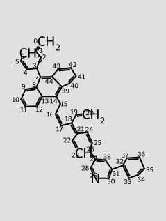 C=CCC(/C=C\C)c1c2ccccc2c(C\C=C/C(C=C)=C(C=C)/C=C\Cc2cncc(-c3ccccc3)c2)c2ccccc12